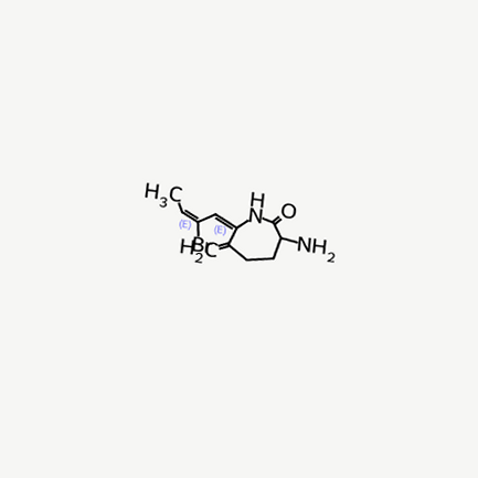 C=C1CCC(N)C(=O)N/C1=C/C(Br)=C\C